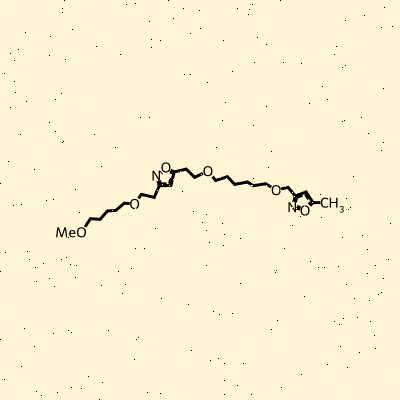 COCCCCCOCCc1cc(CCOCCCCCCOCc2cc(C)on2)on1